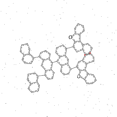 c1ccc2c(-c3cccc4c(-c5c6cccc(-c7cc8ccccc8c8c7oc7ccccc78)c6cc6c(-c7cc8ccccc8c8c7oc7ccccc78)cccc56)c5cccc(-c6cccc7ccccc67)c5cc34)cccc2c1